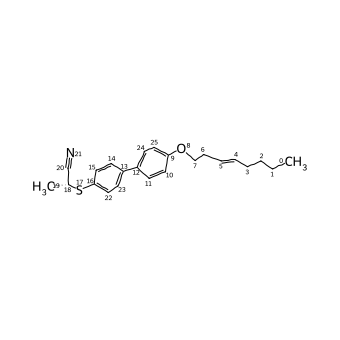 CCCCC=CCCOc1ccc(-c2ccc(S[C@H](C)C#N)cc2)cc1